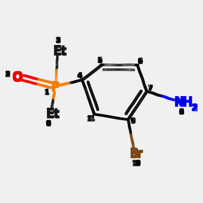 CCP(=O)(CC)c1ccc(N)c(Br)c1